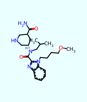 COCCCCn1c(C(=O)N(CC(C)C)[C@@H]2CNCC(C(N)=O)C2)nc2ccccc21